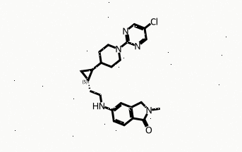 CN1Cc2cc(NCC[C@@H]3CC3C3CCN(c4ncc(Cl)cn4)CC3)ccc2C1=O